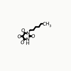 CCCCCCN1C(=O)NC(=O)C(=O)C1=O